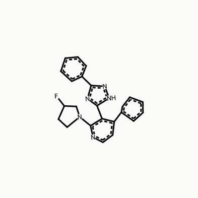 FC1CCN(c2nccc(-c3ccccc3)c2-c2nc(-c3ccccc3)n[nH]2)C1